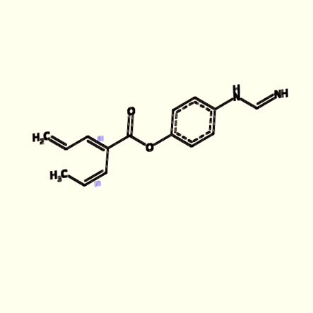 C=C/C=C(\C=C/C)C(=O)Oc1ccc(NC=N)cc1